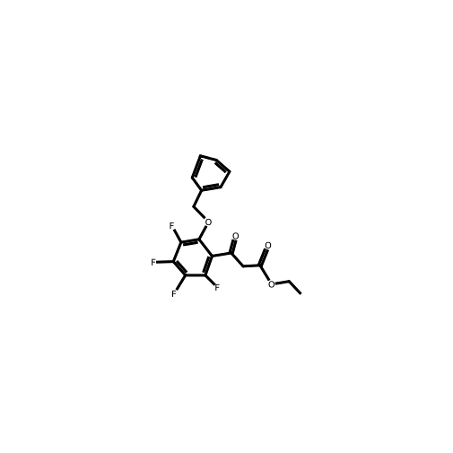 CCOC(=O)CC(=O)c1c(F)c(F)c(F)c(F)c1OCc1ccccc1